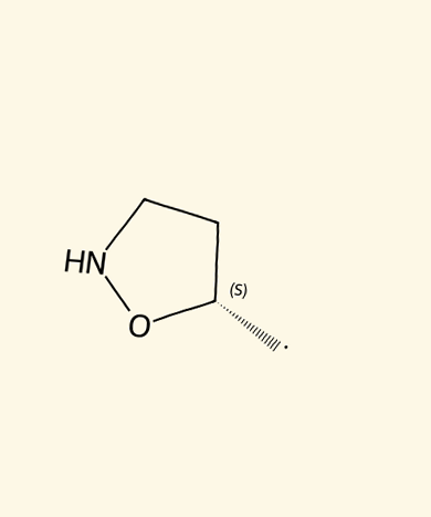 [CH2][C@H]1CCNO1